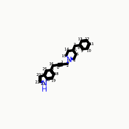 C(#CCN1CCC(Cc2ccccc2)CC1)Cc1ccc2[nH]ccc2c1